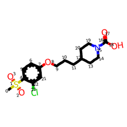 CS(=O)(=O)c1ccc(OCCCC2CCN(C(=O)O)CC2)cc1Cl